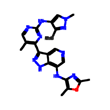 COc1nn(C)cc1Nc1ncc(C)c(-c2n[nH]c3c(Nc4nc(C)oc4C)cncc23)n1